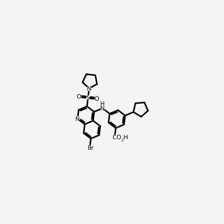 O=C(O)c1cc(Nc2c(S(=O)(=O)N3CCCC3)cnc3cc(Br)ccc23)cc(C2CCCC2)c1